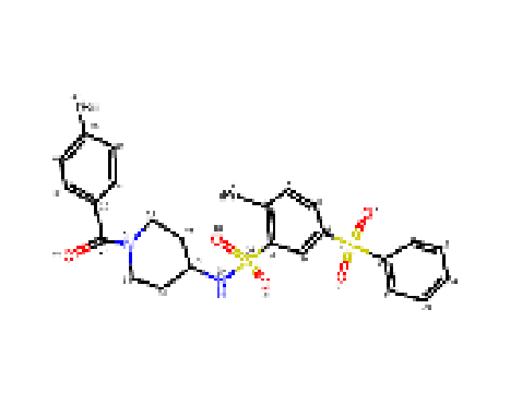 CC(C)c1ccc(S(=O)(=O)c2ccccc2)cc1S(=O)(=O)NC1CCN(C(=O)c2ccc(C(C)(C)C)cc2)CC1